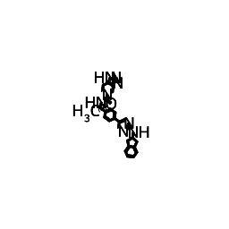 C[C@H](NC(=O)N1CCc2[nH]nnc2C1)c1ccc(-c2cnc(NC3Cc4ccccc4C3)nc2)cc1